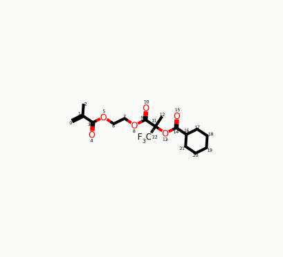 C=C(C)C(=O)OCCOC(=O)C(C)(OC(=O)C1CCCCC1)C(F)(F)F